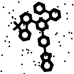 CC1(C)c2ccccc2-c2c(-c3cc(-c4ccc(-c5cc6ccccc6s5)cc4)nc(-c4ccccc4-c4ccccc4)n3)cccc21